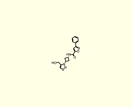 O=C(N[C@H]1C[C@H](n2nncc2CO)C1)c1cc(-c2ccccc2)no1